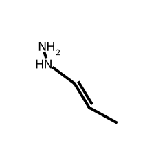 CC=CNN